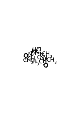 Cc1cccc(N2CCN(CCCN(C)C(=O)c3nc(C)n(-c4ccccc4)c3C)CC2)c1C.Cl.Cl